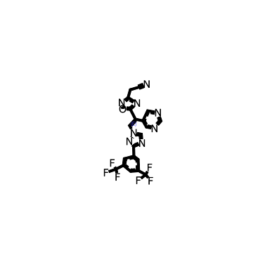 N#CCc1noc(/C(=C/n2cnc(-c3cc(C(F)(F)F)cc(C(F)(F)F)c3)n2)c2cncnc2)n1